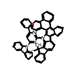 CC1(C)c2ccccc2-c2ccc3c4c5ccccc5c5c6ccccc6c6ccccc6c5c4n(-c4nc(-c5ccccc5)cc(-n5c6ccccc6c6ccccc65)n4)c3c21